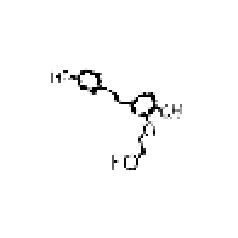 OCCOc1cc(/C=C/c2ccc(O)cc2)ccc1O